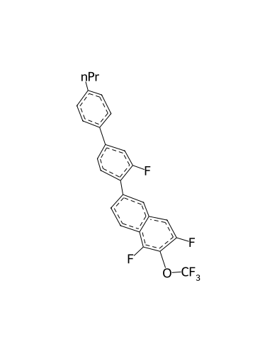 CCCc1ccc(-c2ccc(-c3ccc4c(F)c(OC(F)(F)F)c(F)cc4c3)c(F)c2)cc1